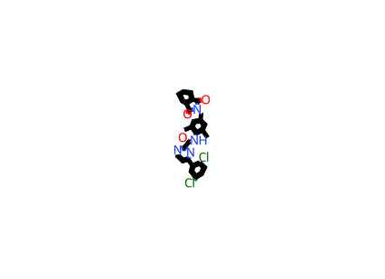 Cc1cc(CN2C(=O)c3ccccc3C2=O)cc(C)c1NC(=O)c1nccc(-c2cc(Cl)ccc2Cl)n1